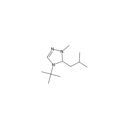 CC(C)CC1N(C)N=CN1C(C)(C)C